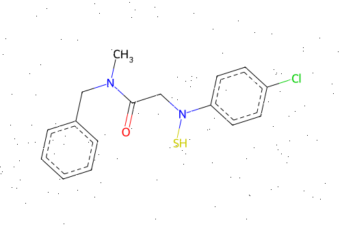 CN(Cc1ccccc1)C(=O)CN(S)c1ccc(Cl)cc1